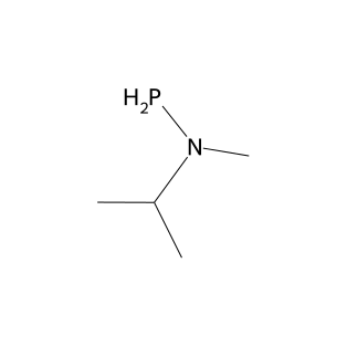 CC(C)N(C)P